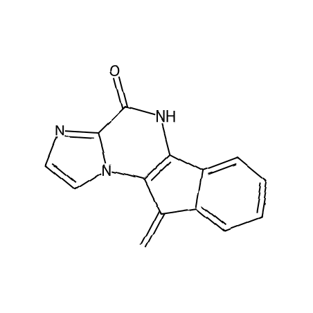 C=c1c2ccccc2c2[nH]c(=O)c3nccn3c12